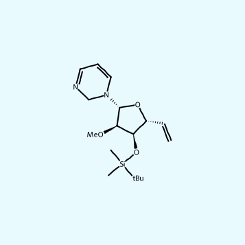 C=C[C@H]1O[C@@H](N2C=CC=NC2)[C@H](OC)[C@@H]1O[Si](C)(C)C(C)(C)C